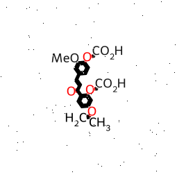 C=C(C)Oc1ccc(C(=O)/C=C/c2ccc(OCC(=O)O)c(OC)c2)c(OCC(=O)O)c1